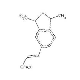 CC1CC(C)c2cc(C=CC=O)ccc21